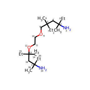 CCC(C)(N)CC(C)(CC)COCCOC(C)(CC)CC(C)(N)CC